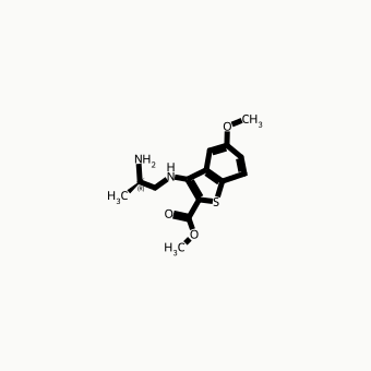 COC(=O)c1sc2ccc(OC)cc2c1NC[C@@H](C)N